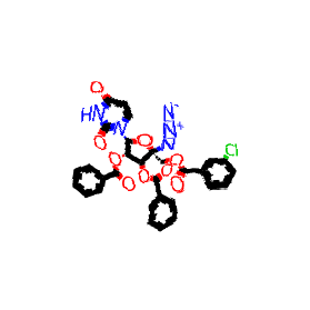 [N-]=[N+]=N[C@]1(COC(=O)c2cccc(Cl)c2)O[C@@H](n2ccc(=O)[nH]c2=O)[C@@H](OC(=O)c2ccccc2)C1OC(=O)c1ccccc1